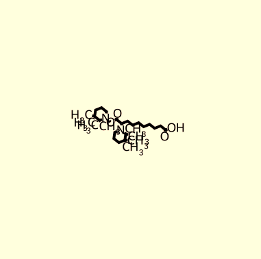 CC1(C)CCCN(OC(=O)C(CCCCCCCC(=O)O)N2CCCC(C)(C)C2(C)C)C1(C)C